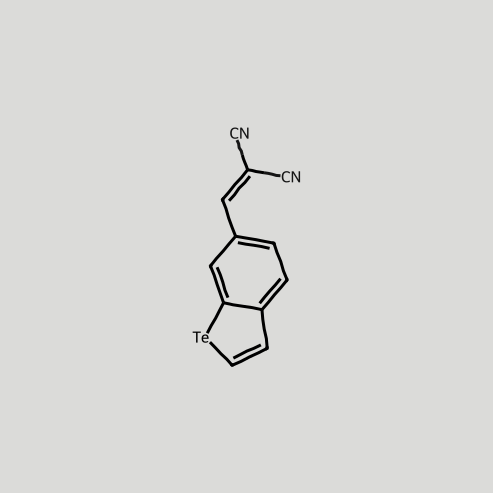 N#CC(C#N)=Cc1ccc2cc[te]c2c1